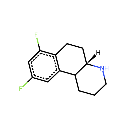 Fc1cc(F)c2c(c1)C1CCCN[C@H]1CC2